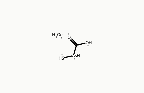 O=C(O)[AsH]S.[GeH4]